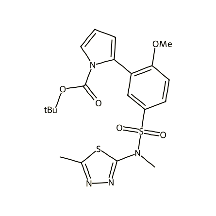 COc1ccc(S(=O)(=O)N(C)c2nnc(C)s2)cc1-c1cccn1C(=O)OC(C)(C)C